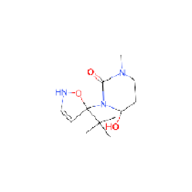 CN1CCC(O)N(C2(C(C)(C)C)C=CNO2)C1=O